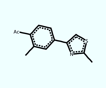 CC(=O)c1ccc(-c2csc(C)n2)cc1C